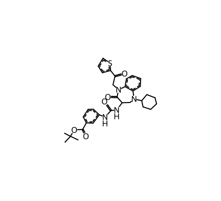 CC(C)(C)OC(=O)c1cccc(NC(=O)NC2CN(C3CCCCC3)c3ccccc3N(CC(=O)c3cccs3)C2=O)c1